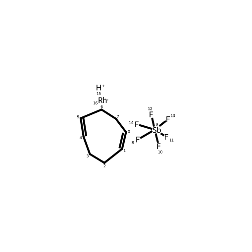 C1=CCCC=CCC1.[F][Sb-]([F])([F])([F])([F])[F].[H+].[Rh]